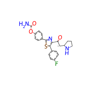 NC(=O)Oc1ccc(-c2nc(C(=O)[CH]C3CCCN3)c(-c3ccc(F)cc3)s2)cc1